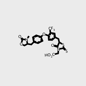 CN1C(=O)OCC1Cc1ccc(Oc2ccc(CC3SC(=S)N(CC(=O)O)C3=O)cc2C(F)(F)F)cc1